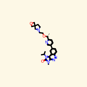 CC(C)n1c(=O)n(C)c2nnc3ccc(-c4ccc([C@@H](C)OCCN5CCC6(COC6)C5)nc4)cc3c21